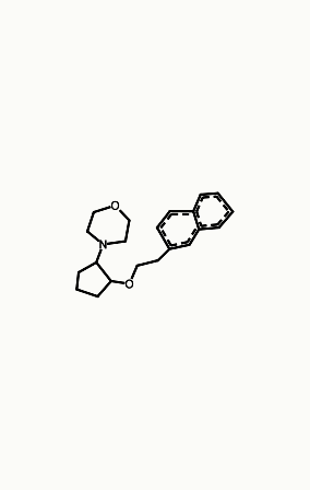 c1ccc2cc(CCOC3CCCC3N3CCOCC3)ccc2c1